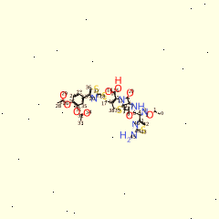 CCON=C(C(=O)N[C@@H]1C(=O)N2C(C(=O)O)=C(CSc3nc(-c4ccc(OC(C)=O)c(OC(C)=O)c4)cs3)CS[C@@H]12)c1csc(N)n1